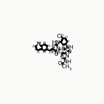 CC(=O)Nc1nc(S(=O)(=O)Nc2ccc(Cl)c(NC3=NC(=O)/C(=C/c4ccc5ncccc5c4)S3)c2)c(C)s1